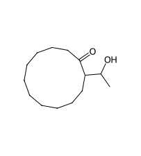 CC(O)C1CCCCCCCCCCC1=O